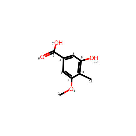 COc1cc(C(=O)O)cc(O)c1C